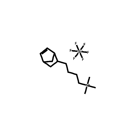 C[N+](C)(C)CCCCC1CC2C=CC1C2.[F][Sb-]([F])([F])([F])([F])[F]